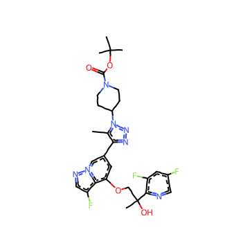 Cc1c(-c2cc(OCC(C)(O)c3ncc(F)cc3F)c3c(F)cnn3c2)nnn1C1CCN(C(=O)OC(C)(C)C)CC1